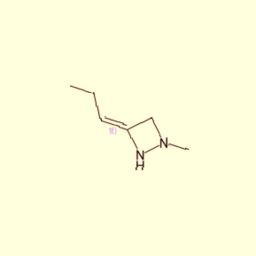 CC/C=C1\CN(C)N1